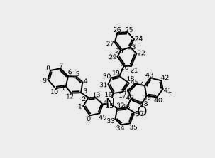 c1cc(-c2ccc3ccccc3c2)cc(N(c2ccc(-c3ccc4ccccc4c3)cc2)c2cccc3oc4c5ccccc5ccc4c23)c1